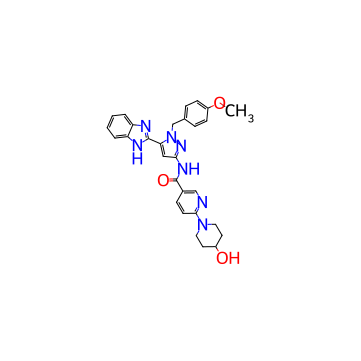 COc1ccc(Cn2nc(NC(=O)c3ccc(N4CCC(O)CC4)nc3)cc2-c2nc3ccccc3[nH]2)cc1